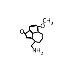 COc1ccc2c3c1CCCC(CN)C3=CC2=O